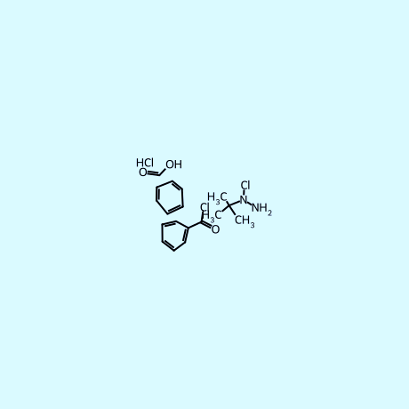 CC(C)(C)N(N)Cl.Cl.O=C(Cl)c1ccccc1.O=CO.c1ccccc1